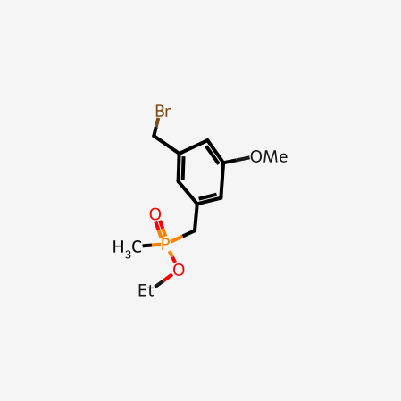 CCOP(C)(=O)Cc1cc(CBr)cc(OC)c1